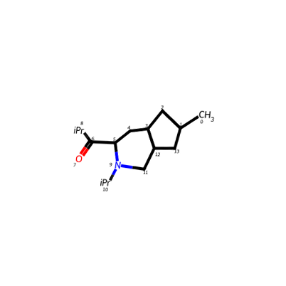 CC1CC2CC(C(=O)C(C)C)N(C(C)C)CC2C1